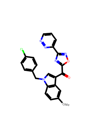 COc1ccc2c(c1)c(C(=O)c1nc(-c3cccnn3)no1)cn2Cc1ccc(Cl)cc1